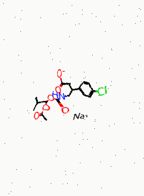 CC(=O)OC(OC(=O)NCC(CC(=O)[O-])c1ccc(Cl)cc1)C(C)C.[Na+]